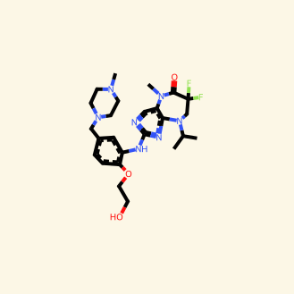 CC(C)N1CC(F)(F)C(=O)N(C)c2cnc(Nc3cc(CN4CCN(C)CC4)ccc3OCCO)nc21